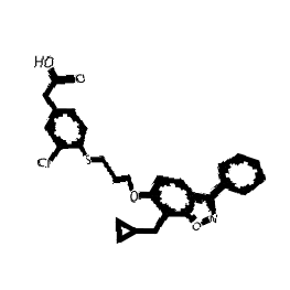 O=C(O)Cc1ccc(SCCCOc2ccc3c(-c4ccccc4)noc3c2CC2CC2)c(Cl)c1